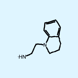 [NH]CCN1CCCc2ccccc21